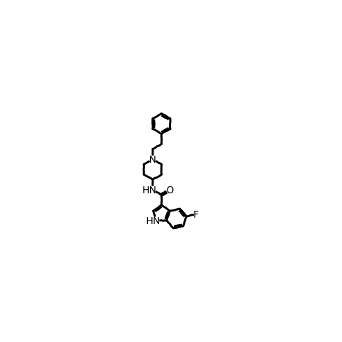 O=C(NC1CCN(CCc2ccccc2)CC1)c1c[nH]c2ccc(F)cc12